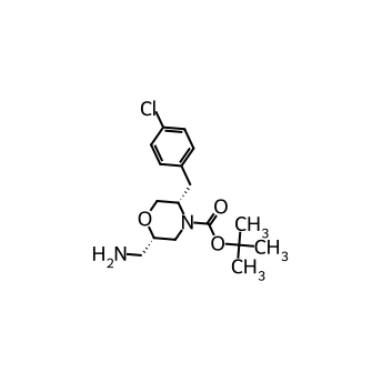 CC(C)(C)OC(=O)N1C[C@H](CN)OC[C@@H]1Cc1ccc(Cl)cc1